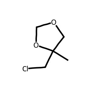 CC1(CCl)COCO1